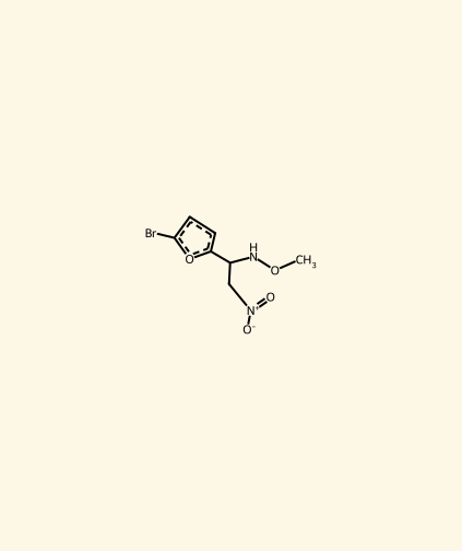 CONC(C[N+](=O)[O-])c1ccc(Br)o1